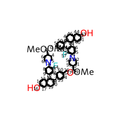 COC(OC)C1CCN(c2ccc([C@H]3c4ccc(O)cc4CC[C@H]3c3ccc(COC(OC)C4CCN(c5ccc([C@@H]6c7ccc(O)cc7CC[C@@H]6c6ccccc6)cc5F)CC4)cc3)cc2F)CC1